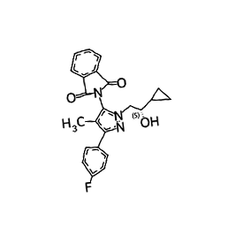 Cc1c(-c2ccc(F)cc2)nn(C[C@@H](O)C2CC2)c1N1C(=O)c2ccccc2C1=O